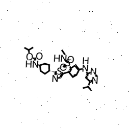 CCNS(=O)(=O)c1cc(Nc2cc(C(C)C)ncn2)ccc1-c1cnc([C@H]2CC[C@H](NC(=O)OC(C)C)CC2)s1